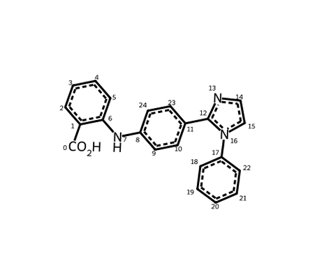 O=C(O)c1ccccc1Nc1ccc(-c2nccn2-c2ccccc2)cc1